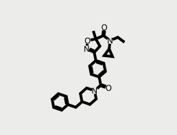 CCN(C(=O)C1(C)CC(c2ccc(C(=O)N3CCC(Cc4ccccc4)CC3)cc2)=NO1)C1CC1